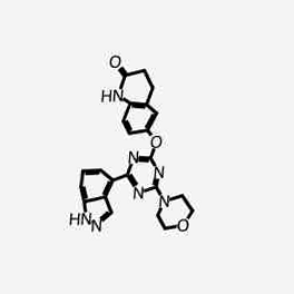 O=C1CCc2cc(Oc3nc(-c4cccc5[nH]ncc45)nc(N4CCOCC4)n3)ccc2N1